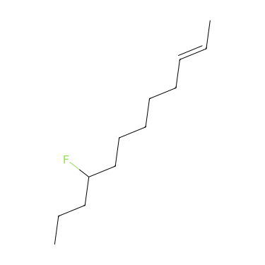 CC=CCCCCCC(F)CCC